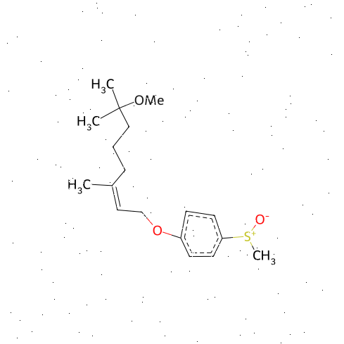 COC(C)(C)CCCC(C)=CCOc1ccc([S+](C)[O-])cc1